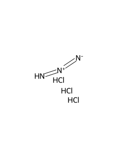 Cl.Cl.Cl.[N-]=[N+]=N